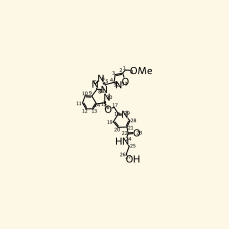 COCc1cc(-c2nnc3c4ccccc4c(OCc4ccc(C(=O)NCCO)cn4)nn23)no1